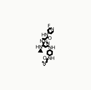 CN(C)CC(=O)N[C@H]1CC[C@H](Nc2cc(NC3CC3)c3ncc(C(=O)Nc4ccnc(F)c4)n3n2)CC1